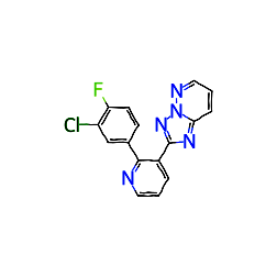 Fc1ccc(-c2ncccc2-c2nc3cccnn3n2)cc1Cl